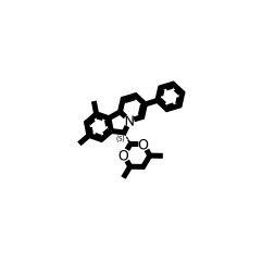 Cc1cc(C)c2c(c1)[C@@H](C1OC(C)CC(C)O1)N1C=C(c3ccccc3)C=CC21